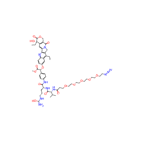 CCc1c2c(nc3ccc(OC(C(=O)OC)c4ccc(NC(=O)[C@H](CCCNC(N)O)NC(=O)[C@@H](NC(=O)CCOCCOCCOCCOCCOCCN=[N+]=[N-])C(C)C)cc4)cc13)-c1cc3c(c(=O)n1C2)COC(=O)[C@]3(O)CC